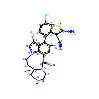 N#Cc1c(N)sc2c(F)ccc(-c3c(F)cc4c5c3c(Cl)cn5CC[C@@H]3CNCCN3C4=O)c12